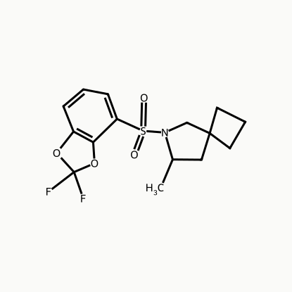 CC1CC2(CCC2)CN1S(=O)(=O)c1cccc2c1OC(F)(F)O2